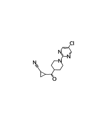 N#CC1CC1C(=O)C1CCN(c2ncc(Cl)cn2)CC1